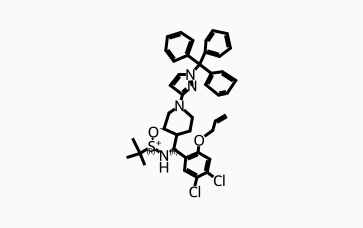 C=CCOc1cc(Cl)c(Cl)cc1[C@H](N[S@@+]([O-])C(C)(C)C)C1CCN(c2ccn(C(c3ccccc3)(c3ccccc3)c3ccccc3)n2)CC1